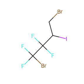 FC(F)(Br)C(F)(F)C(I)CBr